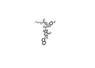 CCCCOC(=O)N1CC(NC(=O)c2cc3c(=O)[nH]c(-c4ccc5ccccc5c4)cn3n2)(c2ccc(F)cc2)C1